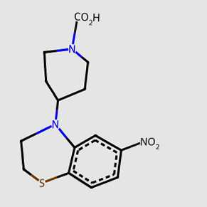 O=C(O)N1CCC(N2CCSc3ccc([N+](=O)[O-])cc32)CC1